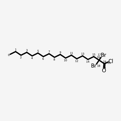 CCCCCCCCCCCCCCCCC(Br)(Br)C(=O)Cl